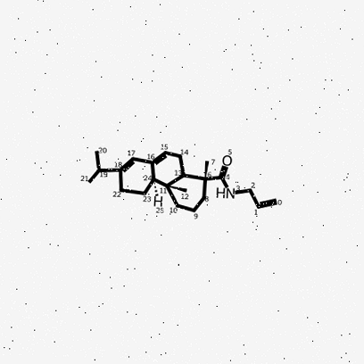 C=CCNC(=O)[C@]1(C)CCC[C@@]2(C)C1CC=C1C=C(C(C)C)CC[C@@H]12